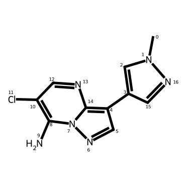 Cn1cc(-c2cnn3c(N)c(Cl)cnc23)cn1